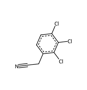 N#CCc1ccc(Cl)c(Cl)c1Cl